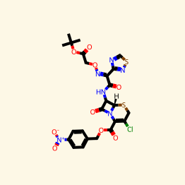 CC(C)(C)OC(=O)CON=C(C(=O)NC1C(=O)N2C(C(=O)OCc3ccc([N+](=O)[O-])cc3)=C(Cl)CS[C@@H]12)c1ncsn1